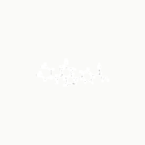 NC(=O)c1ccc(-n2cnc3c(NC(CO)CO)nc(Cl)nc32)cc1